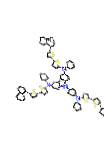 c1ccc(N(c2ccc(-n3c4ccc(N(c5ccccc5)c5ccc(-c6ccc(-c7cccc8ccccc78)s6)s5)cc4c4cc(N(c5ccccc5)c5ccc(-c6ccc(-c7cccc8ccccc78)s6)s5)ccc43)cc2)c2ccc(-c3ccc(-c4cccc5ccccc45)s3)s2)cc1